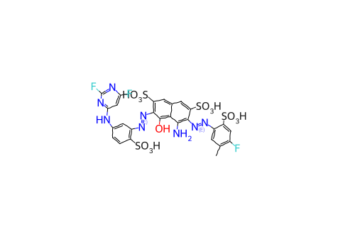 Cc1cc(/N=N/c2c(S(=O)(=O)O)cc3cc(S(=O)(=O)O)c(/N=N/c4cc(Nc5cc(F)nc(F)n5)ccc4S(=O)(=O)O)c(O)c3c2N)c(S(=O)(=O)O)cc1F